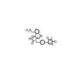 Cn1cc(-c2ccc(C[C@H](NC(=O)c3c(Br)cccc3CN)C(=O)O)cc2)c(=O)n(C)c1=O